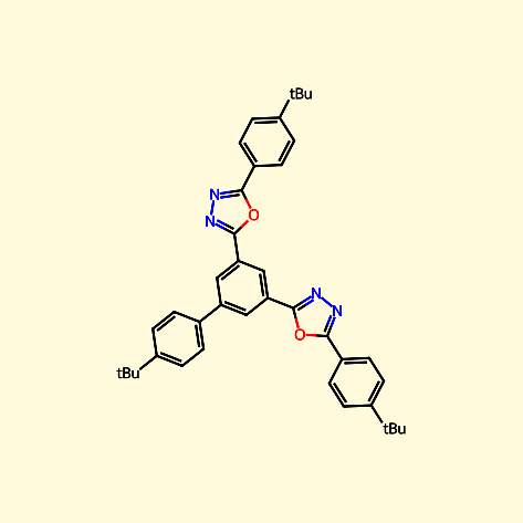 CC(C)(C)c1ccc(-c2cc(-c3nnc(-c4ccc(C(C)(C)C)cc4)o3)cc(-c3nnc(-c4ccc(C(C)(C)C)cc4)o3)c2)cc1